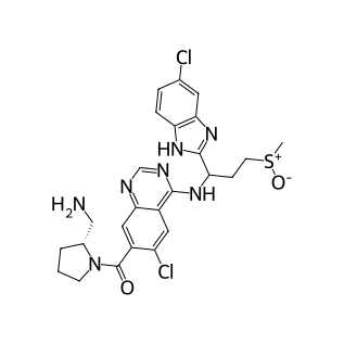 C[S+]([O-])CCC(Nc1ncnc2cc(C(=O)N3CCC[C@@H]3CN)c(Cl)cc12)c1nc2cc(Cl)ccc2[nH]1